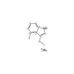 CC[C@@H](C)CCc1c[nH]c2cccc(C)c12